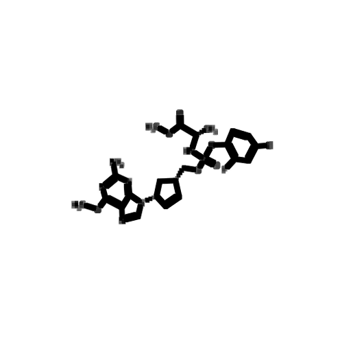 COC(=O)[C@H](C)NP(=O)(OC[C@@H]1C=C[C@H](n2cnc3c(OC)nc(N)nc32)C1)Oc1ccc(Cl)cc1F